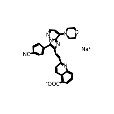 N#Cc1ccc(-c2c(/C=C/c3ccc4c(C(=O)[O-])cccc4n3)nc3c(N4CCOCC4)ccnn23)cc1.[Na+]